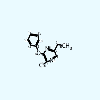 CCc1cnc(Cl)c(Oc2ccccc2)n1